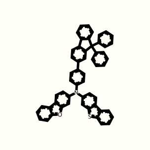 c1ccc(C2(c3ccccc3)c3ccccc3-c3ccc(-c4ccc(N(c5ccc6c(c5)oc5ccccc56)c5ccc6c(c5)sc5ccccc56)cc4)cc32)cc1